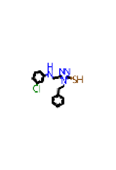 Sc1nnc(CNc2cccc(Cl)c2)n1CCc1ccccc1